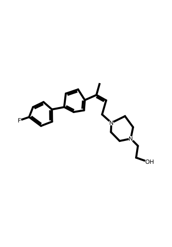 CC(=CCN1CCN(CCO)CC1)c1ccc(-c2ccc(F)cc2)cc1